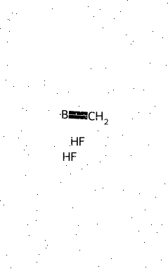 F.F.[B]=C